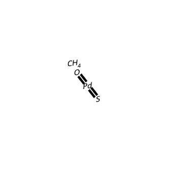 C.[O]=[Pd]=[S]